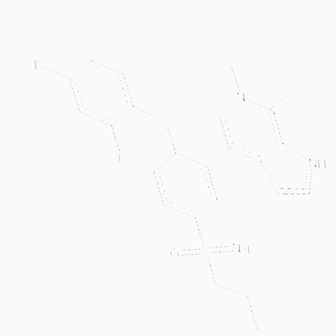 CCCS(=N)(=O)c1ccc(Oc2ccc(F)cc2F)c(-c2cn(C)c(=O)c3[nH]ccc23)c1